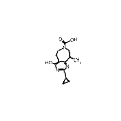 CC1CN(C(=O)O)CCc2c(O)nc(C3CC3)nc21